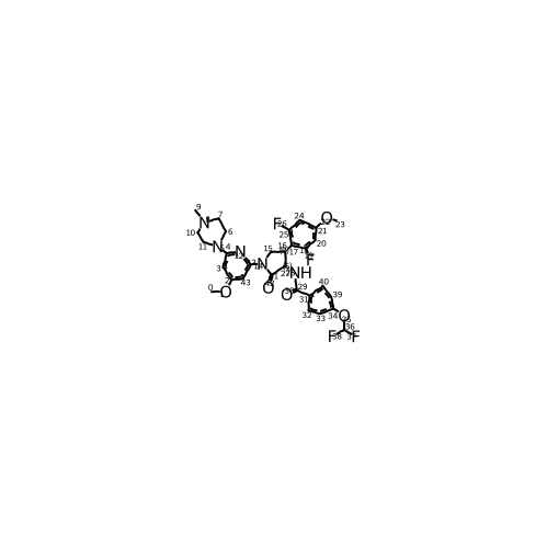 COc1cc(N2CCN(C)CC2)nc(N2C[C@@H](c3c(F)cc(OC)cc3F)[C@H](NC(=O)c3ccc(OC(F)F)cc3)C2=O)c1